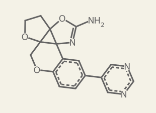 NC1=NC23c4cc(-c5cncnc5)ccc4OCC24OCCC43O1